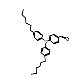 CCCCCCc1ccc(N(c2ccc(C=O)cc2)c2ccc(CCCCCC)cc2)cc1